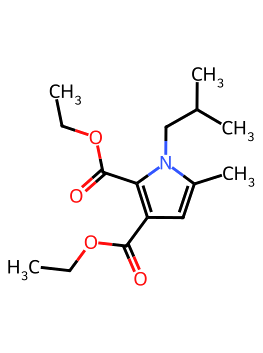 CCOC(=O)c1cc(C)n(CC(C)C)c1C(=O)OCC